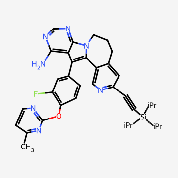 Cc1ccnc(Oc2ccc(-c3c4n(c5ncnc(N)c35)CCCc3cc(C#C[Si](C(C)C)(C(C)C)C(C)C)ncc3-4)cc2F)n1